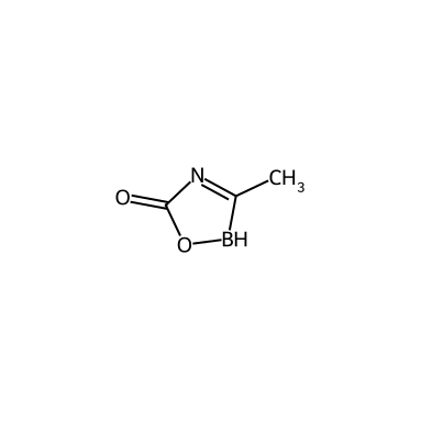 CC1=NC(=O)OB1